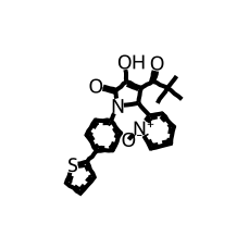 CC(C)(C)C(=O)C1=C(O)C(=O)N(c2ccc(-c3cccs3)cc2)C1c1cccc[n+]1[O-]